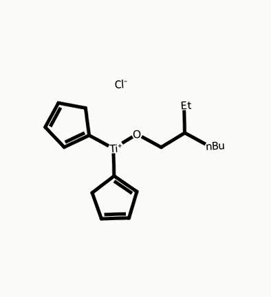 CCCCC(CC)C[O][Ti+]([C]1=CC=CC1)[C]1=CC=CC1.[Cl-]